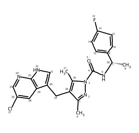 Cc1nn(C(=O)N[C@@H](C)c2ccc(F)cc2)c(C)c1Cc1c[nH]c2ncc(Cl)cc12